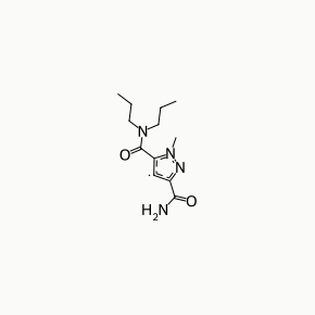 CCCN(CCC)C(=O)c1[c]c(C(N)=O)nn1C